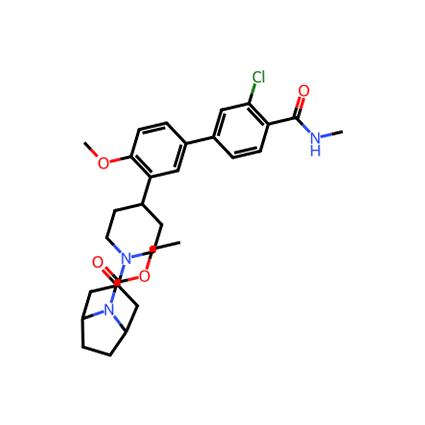 CCOC(=O)N1C2CCC1CC(N1CCC(c3cc(-c4ccc(C(=O)NC)c(Cl)c4)ccc3OC)CC1)C2